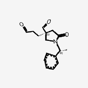 C[C@H](c1ccccc1)N1C[C@](C=O)(CCC=O)CC1=O